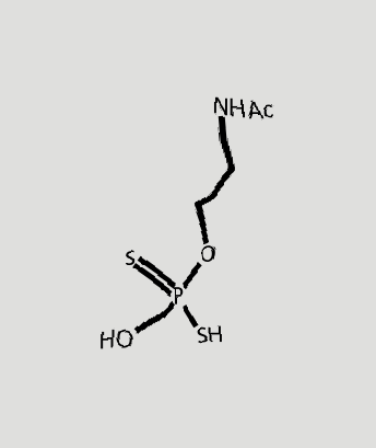 CC(=O)NCCOP(O)(=S)S